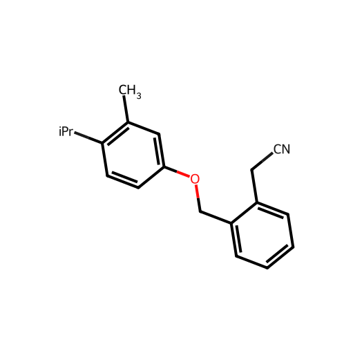 Cc1cc(OCc2ccccc2CC#N)ccc1C(C)C